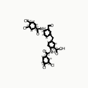 O=Cc1cc(Cc2ccc(NC(=O)c3ccc(Cl)c(Cl)c3)c(C(=O)O)c2)ccc1NC(=O)c1ccc(Cl)c(Cl)c1